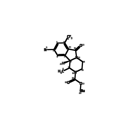 CC1[C@@H]2c3cc(Br)cc(C(F)(F)F)c3C(=O)N2CCN1C(=O)OC(C)(C)C